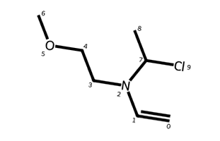 C=CN(CCOC)C(C)Cl